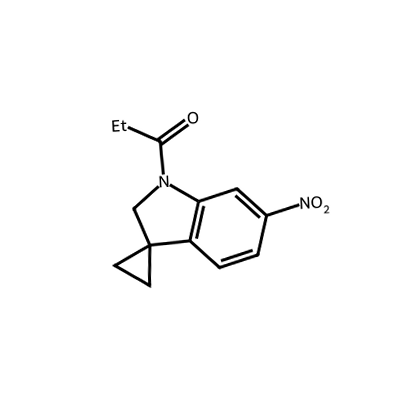 CCC(=O)N1CC2(CC2)c2ccc([N+](=O)[O-])cc21